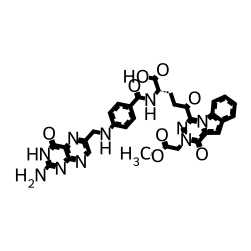 COC(=O)Cn1nc(C(=O)CC[C@H](NC(=O)c2ccc(NCc3cnc4nc(N)[nH]c(=O)c4n3)cc2)C(=O)O)n2c(cc3ccccc32)c1=O